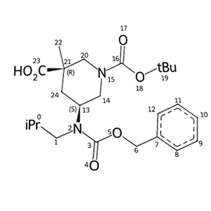 CC(C)CN(C(=O)OCc1ccccc1)[C@@H]1CN(C(=O)OC(C)(C)C)C[C@](C)(C(=O)O)C1